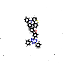 C1=CC2Sc3ccc(-c4cccc5c4oc4ccc(-c6nc(-c7ccccc7)nc(-c7ccccc7)n6)cc45)cc3C2C(n2c3ccccc3c3ccccc32)=C1